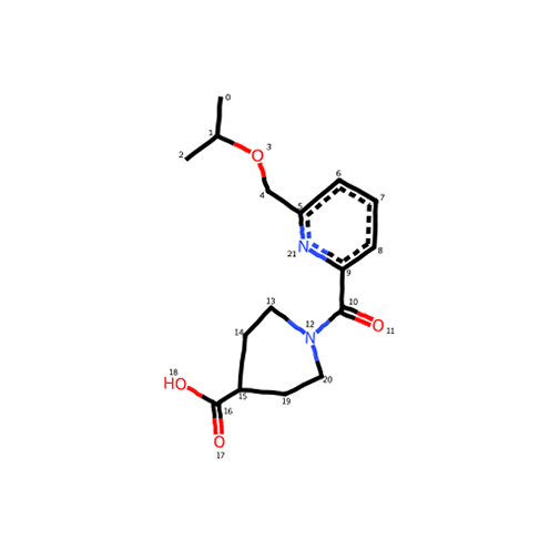 CC(C)OCc1cccc(C(=O)N2CCC(C(=O)O)CC2)n1